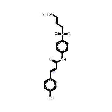 CCCCCCCC=CCS(=O)(=O)c1ccc(NC(=O)/C=C/c2ccc(O)cc2)cc1